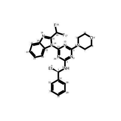 CC[C@@H](Nc1nc(N2CCOCC2)nc(-n2c(C(F)F)nc3ccccc32)n1)c1ccccc1